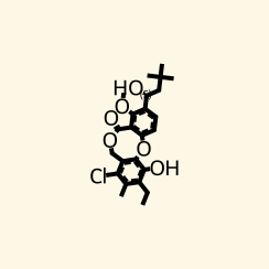 CCc1c(C)c(Cl)c2c(c1O)Oc1ccc([C@@H](O)CC(C)(C)C)c(OC)c1C(=O)OC2